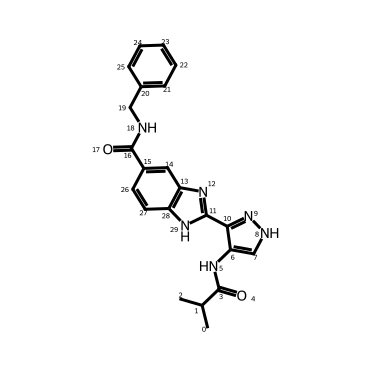 CC(C)C(=O)Nc1c[nH]nc1-c1nc2cc(C(=O)NCc3ccccc3)ccc2[nH]1